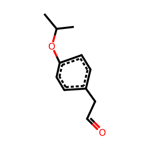 CC(C)Oc1ccc(CC=O)cc1